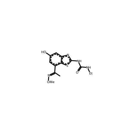 CCNC(=O)Nc1nc2cc(O)cc(/C(C)=N/OC)c2s1